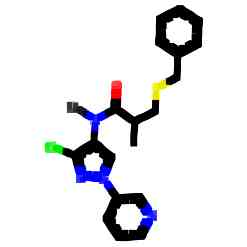 CCN(C(=O)C(C)CSCc1ccccc1)c1cn(-c2cccnc2)nc1Cl